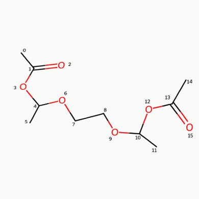 CC(=O)OC(C)OCCOC(C)OC(C)=O